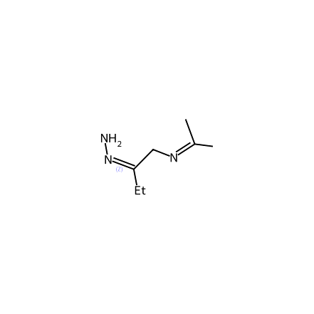 CC/C(CN=C(C)C)=N/N